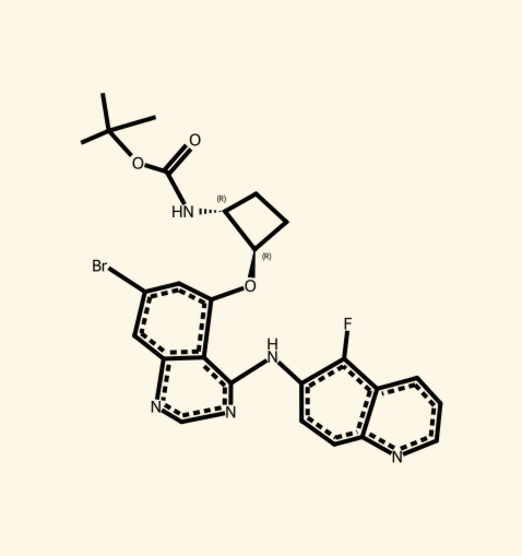 CC(C)(C)OC(=O)N[C@@H]1CC[C@H]1Oc1cc(Br)cc2ncnc(Nc3ccc4ncccc4c3F)c12